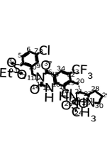 CCS(=O)(=O)c1ccc(Cl)cc1Cn1c(=O)[nH]c2c(Cl)c(C[C@@H](NS(C)(=O)=O)C3CCCN3)c(C(F)(F)F)cc2c1=O